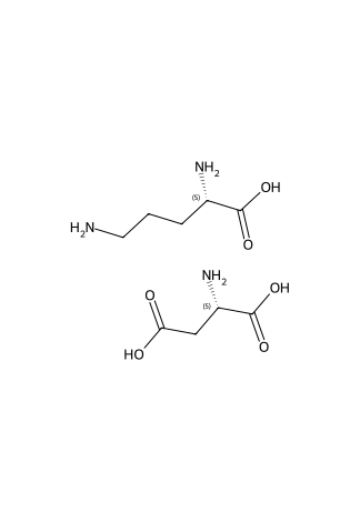 NCCC[C@H](N)C(=O)O.N[C@@H](CC(=O)O)C(=O)O